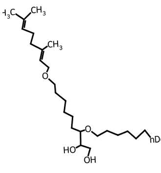 CCCCCCCCCCCCCCCCOC(CCCCCCOC/C=C(\C)CCC=C(C)C)C(O)CO